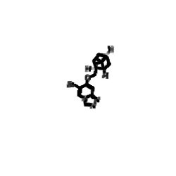 CC1(C)[C@H]2CC[C@H](COc3cc4nncn4cc3Br)[C@H]1C2